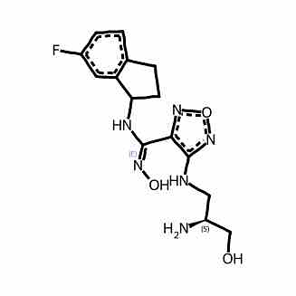 N[C@H](CO)CNc1nonc1/C(=N\O)NC1CCc2ccc(F)cc21